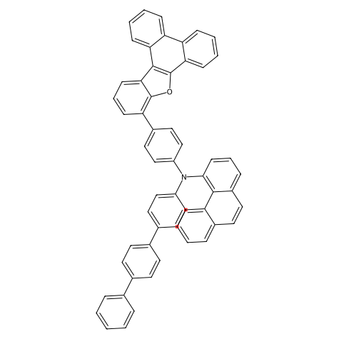 c1ccc(-c2ccc(-c3ccc(N(c4ccc(-c5cccc6c5oc5c7ccccc7c7ccccc7c65)cc4)c4cccc5ccc6ccccc6c45)cc3)cc2)cc1